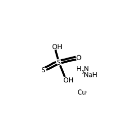 N.O=S(O)(O)=S.[Cu].[NaH]